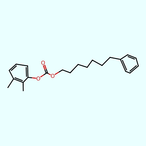 Cc1cccc(OC(=O)OCCCCCCCc2ccccc2)c1C